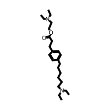 CCN(CC)CCCCCCc1ccc(CCC(=O)OCCN(CC)CC)cc1